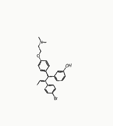 C/C=C(\c1ccc(Br)cc1)C(c1ccc(OCCN(C)C)cc1)c1cccc(O)c1